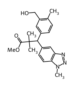 COC(=O)C(C)(C)C(c1ccc(C)c(CO)c1)c1ccc2c(c1)nnn2C